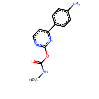 Nc1ccc(-c2ccnc(OC(=O)NC(=O)O)n2)cc1